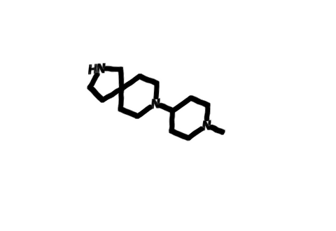 CN1CCC(N2CCC3(CCNC3)CC2)CC1